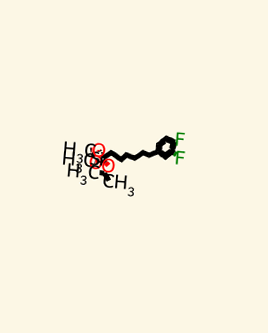 CO[Si](CCCCCCc1ccc(F)c(F)c1)(OC)OC(C)C